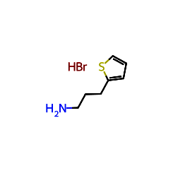 Br.NCCCc1cccs1